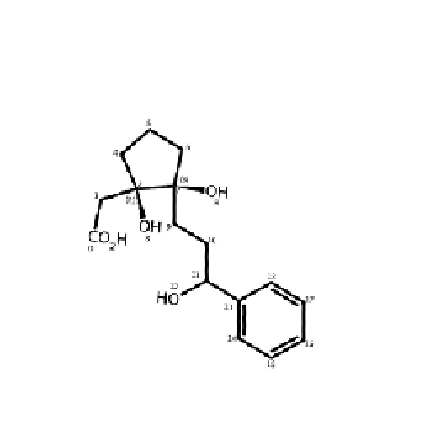 O=C(O)C[C@]1(O)CCC[C@]1(O)CCC(O)c1ccccc1